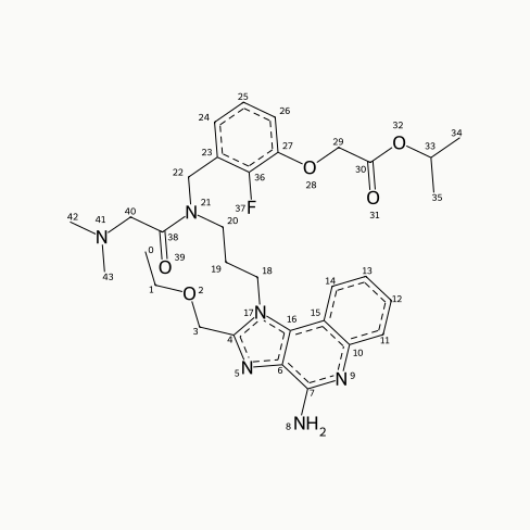 CCOCc1nc2c(N)nc3ccccc3c2n1CCCN(Cc1cccc(OCC(=O)OC(C)C)c1F)C(=O)CN(C)C